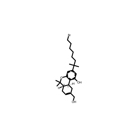 CC(C)(CCCCCCBr)c1cc(O)c2c(c1)OC(C)(C)[C@H]1CC=C(CO)C[C@H]21